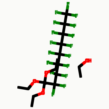 CCO.CCO[Si](OCC)(OCC)C(F)(F)C(F)(F)C(F)(F)C(F)(F)C(F)(F)C(F)(F)C(F)(F)C(F)(F)F